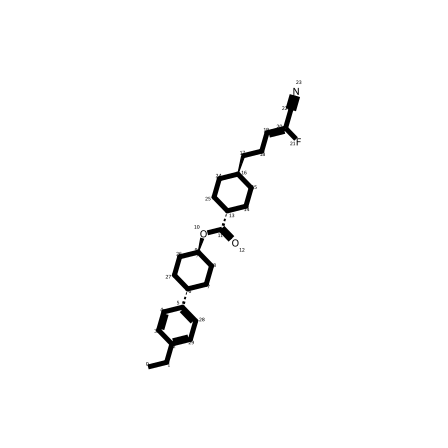 CCc1ccc([C@H]2CC[C@H](OC(=O)[C@H]3CC[C@H](CCC=C(F)C#N)CC3)CC2)cc1